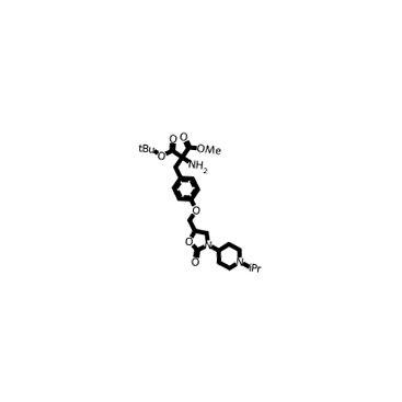 COC(=O)C(N)(Cc1ccc(OCC2CN(C3CCN(C(C)C)CC3)C(=O)O2)cc1)C(=O)OC(C)(C)C